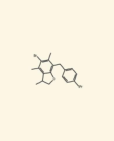 Cc1c(Br)c(C)c2c(c1Cc1ccc(C(C)C)cc1)OCC2C